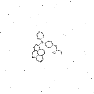 C=CC(O)Oc1ccc(N(c2ccccc2)c2ccc3ccc4cccc5ccc2c3c45)cc1